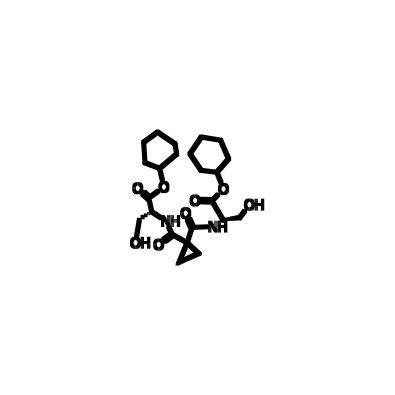 O=C(OC1CCCCC1)[C@@H](CO)NC(=O)C1(C(=O)N[C@H](CO)C(=O)OC2CCCCC2)CC1